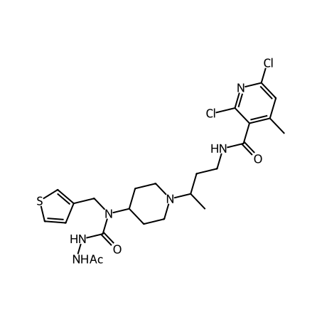 CC(=O)NNC(=O)N(Cc1ccsc1)C1CCN(C(C)CCNC(=O)c2c(C)cc(Cl)nc2Cl)CC1